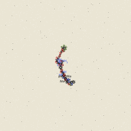 CC[C@H](C)[C@@H]([C@@H](CC(=O)N1CCC[C@H]1[C@H](OC)[C@@H](C)C(=O)N[C@@H](Cc1ccccc1)c1nccs1)OC)N(C)C(=O)[C@@H](NC(=O)C(C)(C)NC(=O)OCc1ccc(NC(=O)[C@H](CC(N)=O)NC(=O)[C@H](C)NC(=O)[C@H](C)NC(=O)CCOCCOCCC(=O)Oc2c(F)c(F)c(F)c(F)c2F)cc1)C(C)C